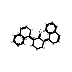 O=C1C(=C2CC=Cc3ccccc32)CCCC1=C1CC=Cc2ccccc21